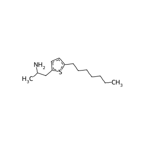 CCCCCCCc1ccc(CC(C)N)s1